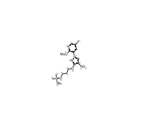 COc1ncc(F)cc1-n1cc([N+](=O)[O-])c(OCCCO[Si](C)(C)C(C)(C)C)n1